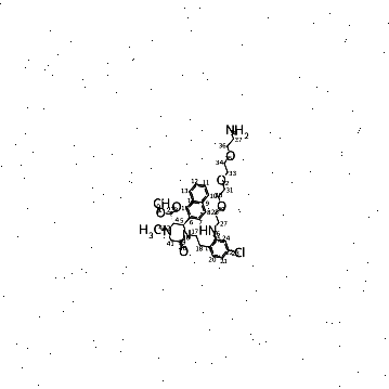 COC(=O)[C@@H]1[C@@H](c2ccc3ccccc3c2)N(CCc2ccc(Cl)cc2NCCOCCOCCOCCN)C(=O)CN1C